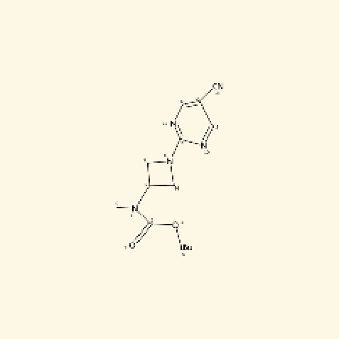 CN(C(=O)OC(C)(C)C)C1CN(c2ncc(C#N)cn2)C1